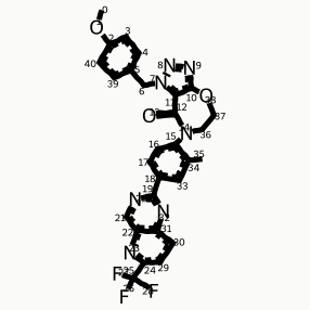 COc1ccc(Cn2nnc3c2C(=O)N(c2ccc(-c4ncc5nc(C(F)(F)F)ccc5n4)cc2C)CCO3)cc1